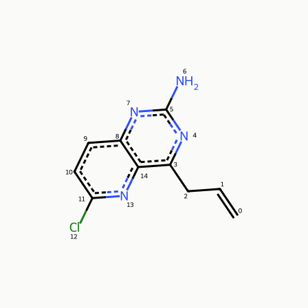 C=CCc1nc(N)nc2ccc(Cl)nc12